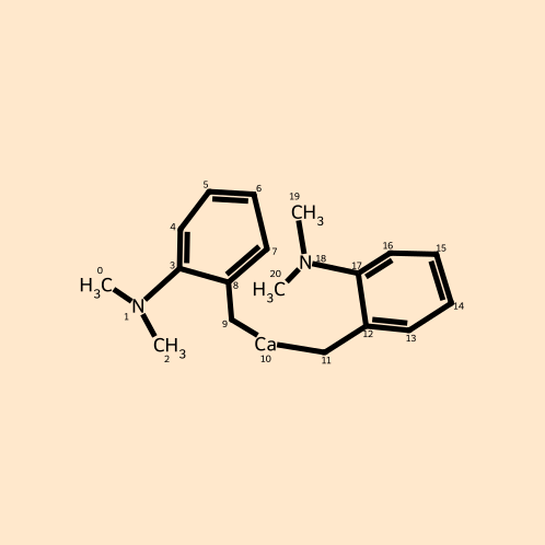 CN(C)c1ccccc1[CH2][Ca][CH2]c1ccccc1N(C)C